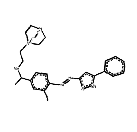 Cc1cc(C(C)NCC[N+]23CCN(CC2)CC3)ccc1N=Nc1cc(-c2ccccc2)[nH]n1